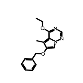 CCOc1ncnn2cc(OCc3ccccc3)c(C)c12